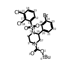 CC(C)(C)OC(=O)N1CCN(S(=O)(=O)c2cccc(Cl)c2Cl)C(c2cccc(Br)c2)C1